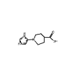 O=C(O)C1CCN(c2cnc[nH]2)CC1